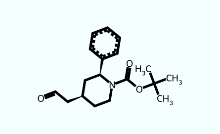 CC(C)(C)OC(=O)N1CC[C@@H](CC=O)C[C@H]1c1ccccc1